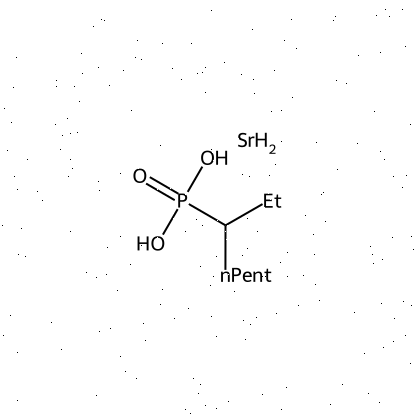 CCCCCC(CC)P(=O)(O)O.[SrH2]